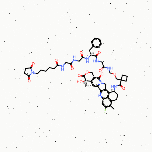 CC[C@@]1(O)C(=O)OCc2c1cc1n(c2=O)Cc2c-1nc1cc(F)c(C)c3c1c2[C@@H](NC(=O)C1(COCNC(=O)CNC(=O)[C@H](Cc2ccccc2)NC(=O)CNC(=O)CNC(=O)CCCCCN2C(=O)CCC2=O)CCC1)CC3